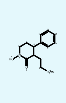 CCCCCCCCCCCCC1C(=O)N(O)CCC1c1ccccc1